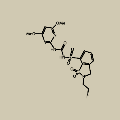 COc1cc(OC)nc(NC(=O)NS(=O)(=O)c2cccc3c2S(=O)(=O)N(CCF)C3)n1